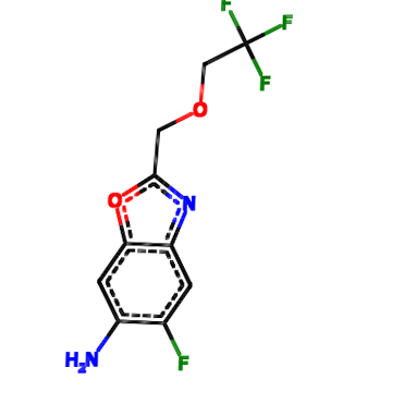 Nc1cc2oc(COCC(F)(F)F)nc2cc1F